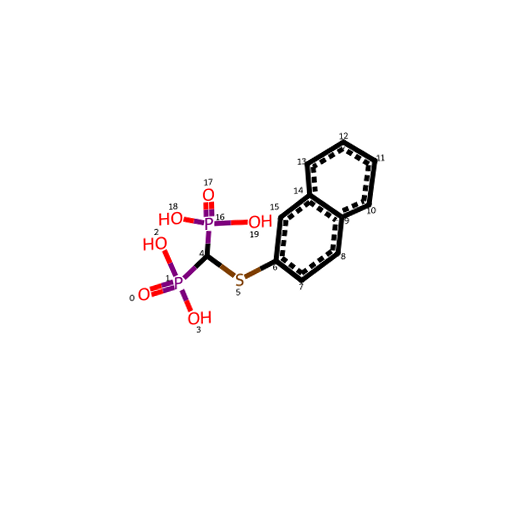 O=P(O)(O)C(Sc1ccc2ccccc2c1)P(=O)(O)O